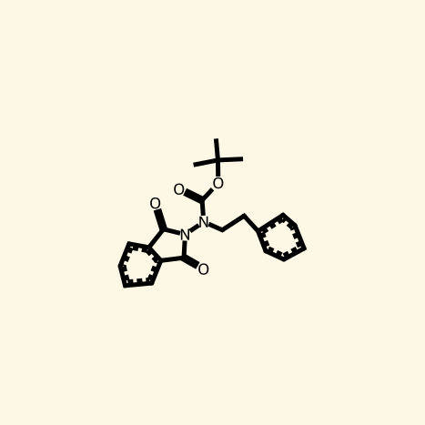 CC(C)(C)OC(=O)N(CCc1ccccc1)N1C(=O)c2ccccc2C1=O